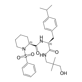 CC(C)c1ccc(C[C@H](NC(=O)[C@@H]2CCCCN2S(=O)(=O)c2ccccc2)C(=O)NCC(C)(C)CO)cc1